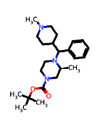 C[C@H]1CN(C(=O)OC(C)(C)C)CCN1C(c1ccccc1)C1CCN(C)CC1